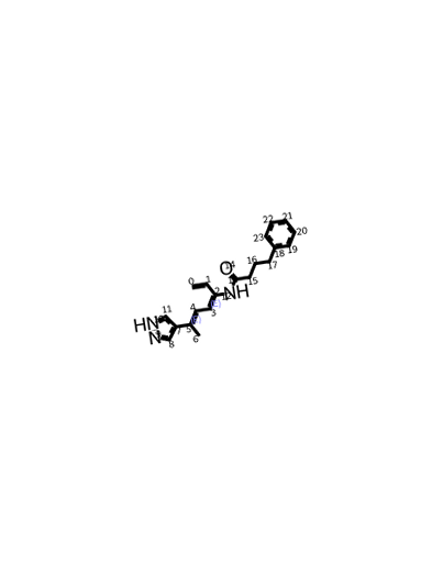 C=C/C(=C\C=C(/C)c1cn[nH]c1)NC(=O)CCCc1ccccc1